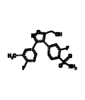 Cc1cc(-c2noc(CO)c2-c2ccc(S(N)(=O)=O)c(F)c2)ccc1F